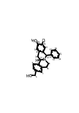 OCc1ccc2c(c1)CCN1C(c3ccccc3)c3cc(Cl)c(O)cc3C[C@@H]21